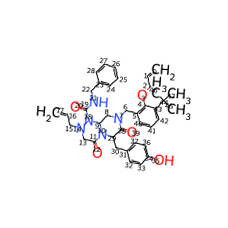 C=CCOc1c(CN2CC3N(C(=O)CN(CC=C)N3C(=O)NCc3ccccc3)C(Cc3ccc(O)cc3)C2=O)cccc1C(C)(C)C